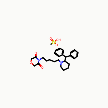 CS(=O)(=O)O.O=C1COCC(=O)N1CCCCCN1CCCCC1C(c1ccccc1)c1ccccc1